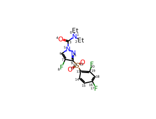 CCN(CC)C(=O)n1cc(F)c(S(=O)(=O)c2ccc(F)cc2F)n1